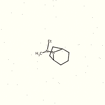 CCN(C)N1C2CCCC1CC2